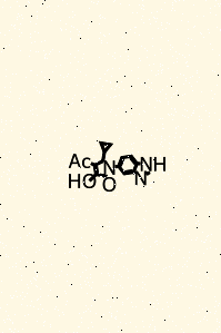 CC(=O)C1=C(O)C(=O)N(c2ccc3[nH]cnc3c2)C1C1CC1